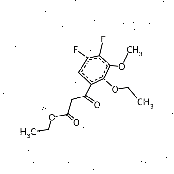 CCOC(=O)CC(=O)c1cc(F)c(F)c(OC)c1OCC